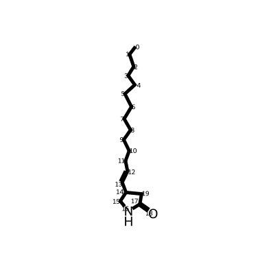 CCCCCCCCCCCCC=CC1CNC(=O)C1